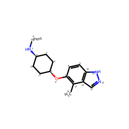 CCCCCN[C@H]1CC[C@@H](Oc2ccc3[nH]ncc3c2C)CC1